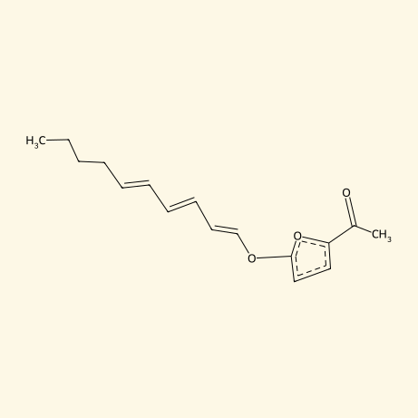 CCCCC=CC=CC=COc1ccc(C(C)=O)o1